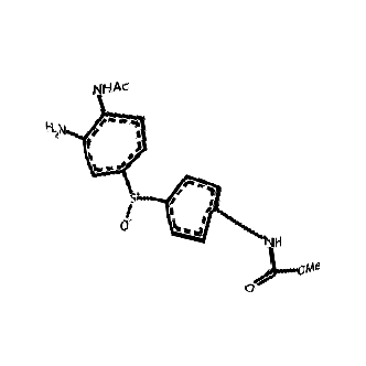 COC(=O)Nc1ccc([S+]([O-])c2ccc(NC(C)=O)c(N)c2)cc1